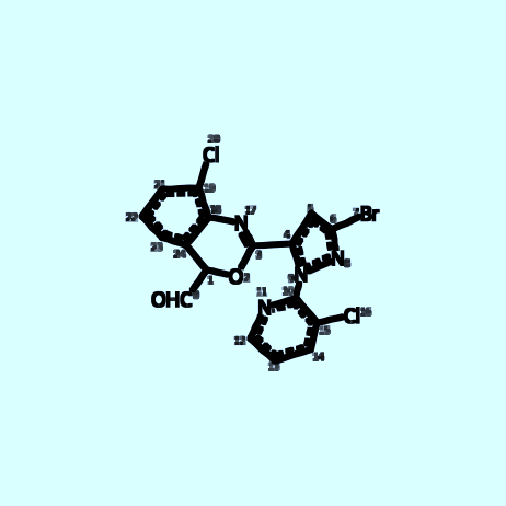 O=CC1OC(c2cc(Br)nn2-c2ncccc2Cl)=Nc2c(Cl)cccc21